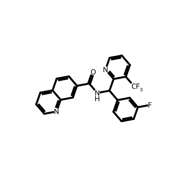 O=C(NC(c1cccc(F)c1)c1ncccc1C(F)(F)F)c1ccc2cccnc2c1